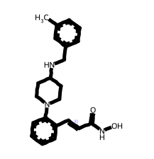 Cc1cccc(CNC2CCN(c3ccccc3/C=C/C(=O)NO)CC2)c1